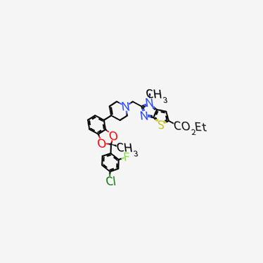 CCOC(=O)c1cc2c(nc(CN3CC=C(c4cccc5c4O[C@](C)(c4ccc(Cl)cc4F)O5)CC3)n2C)s1